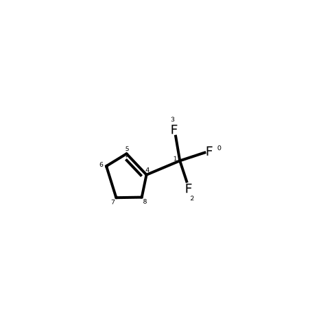 FC(F)(F)C1=[C]CCC1